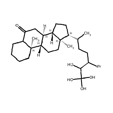 CC(C)C(CCC(C)[C@H]1CC[C@H]2[C@@H]3CC(=O)C4CCCC[C@]4(C)[C@H]3CC[C@]12C)C(O)C(O)(O)O